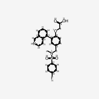 CN(Cc1ccc(OCC(=O)O)c(-c2cccc3cnccc23)c1)S(=O)(=O)c1ccc(F)cc1